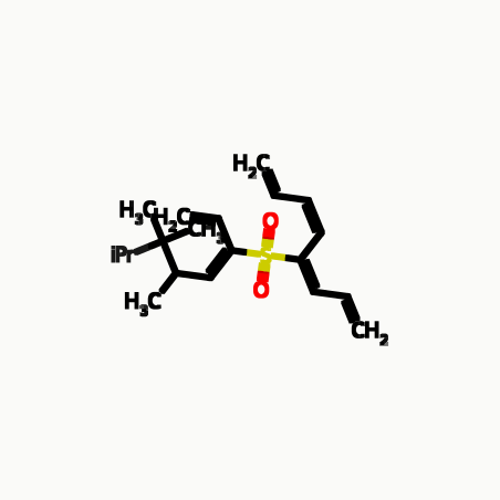 C=C/C=C\C(=C/C=C)S(=O)(=O)/C(C=C)=C/C(C)C(C)(C)C(C)C